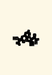 C=C(C)N(O)C(=O)C[C@@H](CC(C)C)C(=O)N[C@@H](C(=O)NC)C(C)(C)S